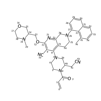 C=CC(=O)N1CCN(c2c(C#N)c(OCC3COCCN3C)nc3c2CCN(c2cccc4cccc(C)c24)C3)CC1CC#N